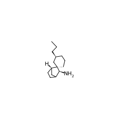 CCC[C@H]1CCC[C@@]2(C1)[C@H]1CCC(C1)[C@@H]2N